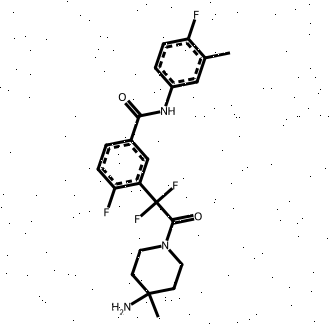 Cc1cc(NC(=O)c2ccc(F)c(C(F)(F)C(=O)N3CCC(C)(N)CC3)c2)ccc1F